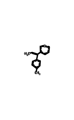 [CH2]C=C(c1ccccc1)c1ccc(C)cc1